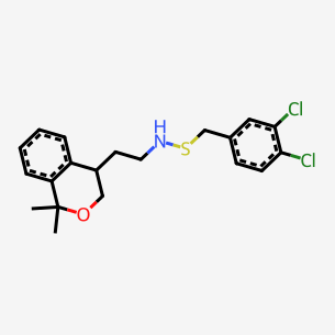 CC1(C)OCC(CCNSCc2ccc(Cl)c(Cl)c2)c2ccccc21